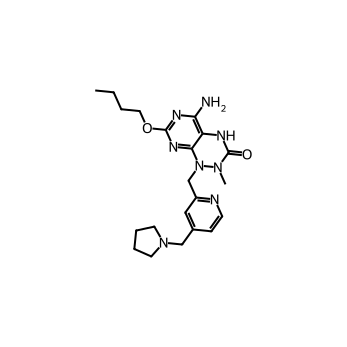 CCCCOc1nc(N)c2c(n1)N(Cc1cc(CN3CCCC3)ccn1)N(C)C(=O)N2